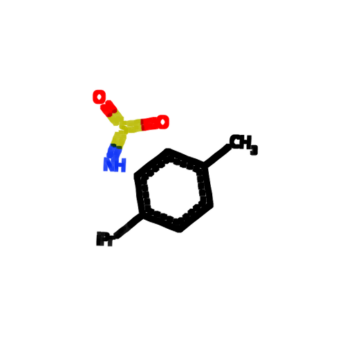 Cc1ccc(C(C)C)cc1.N=S(=O)=O